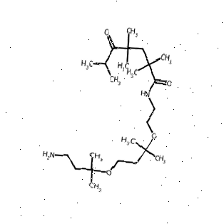 CC(C)C(=O)C(C)(C)CC(C)(C)C(=O)NCCOC(C)(C)CCOC(C)(C)CCN